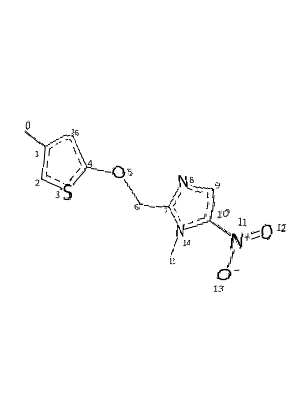 Cc1csc(OCc2ncc([N+](=O)[O-])n2C)c1